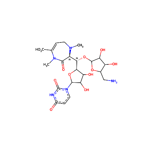 CN1C(=O)[C@H]([C@H](OC2OC(CN)C(O)C2O)C2OC(n3ccc(=O)[nH]c3=O)C(O)C2O)N(C)CC=C1C(=O)O